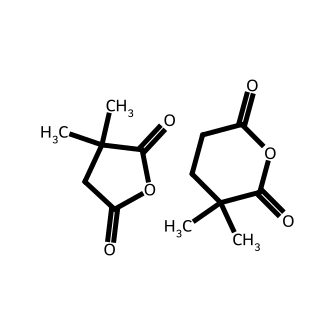 CC1(C)CC(=O)OC1=O.CC1(C)CCC(=O)OC1=O